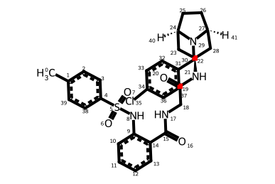 Cc1ccc(S(=O)(=O)Nc2ccccc2C(=O)NCC(=O)N[C@H]2C[C@H]3CC[C@@H](C2)N3Cc2ccc(Cl)cc2)cc1